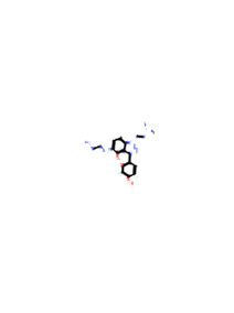 CCN(CC)CCn1nc2c3c(c(NCCN)ccc31)Oc1cc(O)ccc1-2